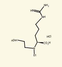 CCCCCCCCCCCCN(CC)[C@@H](CCCNC(=N)N)C(=O)O.Cl